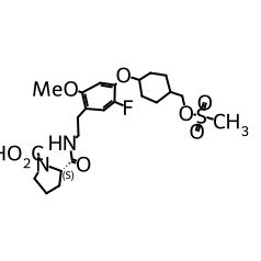 COc1cc(OC2CCC(COS(C)(=O)=O)CC2)c(F)cc1CCNC(=O)[C@@H]1CCCN1C(=O)O